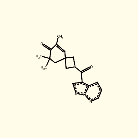 CC1=CC2(CN(C(=O)c3cnn4ncccc34)C2)CC(C)(C)C1=O